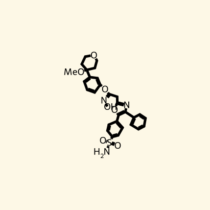 COC1(c2cccc(OC(Cc3nc(-c4ccccc4)c(-c4ccc(S(N)(=O)=O)cc4)o3)=NO)c2)CCOCC1